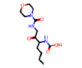 CCCCC(NC(=O)O)C(=O)CNC(=O)N1CCOCC1